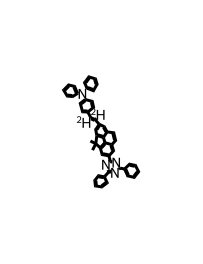 [2H]/C(=C(/[2H])c1cc2c3c(ccc4cc(-c5nc(-c6ccccc6)nc(-c6ccccc6)n5)cc(c43)C2(C)C)c1)c1ccc(N(c2ccccc2)c2ccccc2)cc1